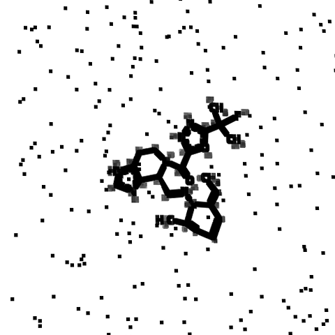 C/C=C1/C=CC=C(C)N1/N=C/[C@H]1c2nc[nH]c2CCN1C(=O)c1nnc(C(C)(C)F)o1